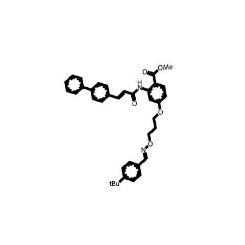 COC(=O)c1ccc(OCCCO/N=C/c2ccc(C(C)(C)C)cc2)cc1NC(=O)/C=C/c1ccc(-c2ccccc2)cc1